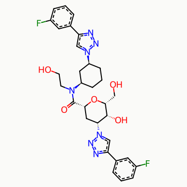 O=C([C@H]1C[C@@H](n2cc(-c3cccc(F)c3)nn2)[C@@H](O)[C@@H](CO)O1)N(CCO)[C@@H]1CCC[C@H](n2cc(-c3cccc(F)c3)nn2)C1